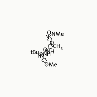 CNC(=O)c1cc(Oc2ccc(NC(=O)Nc3cc(C(C)(C)C)nn3-c3ccc(OC)cc3)cc2C)ccn1